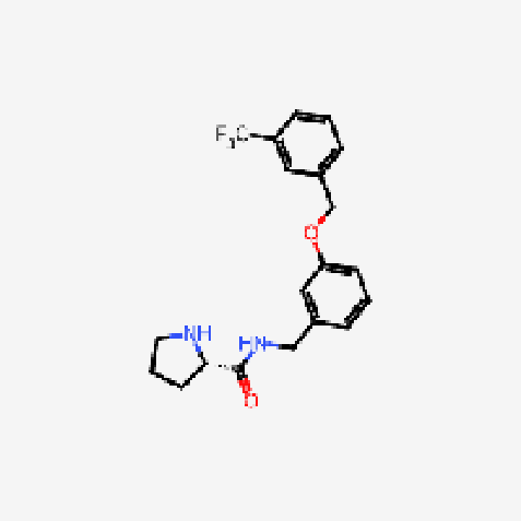 O=C(NCc1cccc(OCc2cccc(C(F)(F)F)c2)c1)[C@@H]1CCCN1